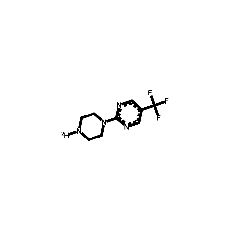 [2H]N1CCN(c2ncc(C(F)(F)F)cn2)CC1